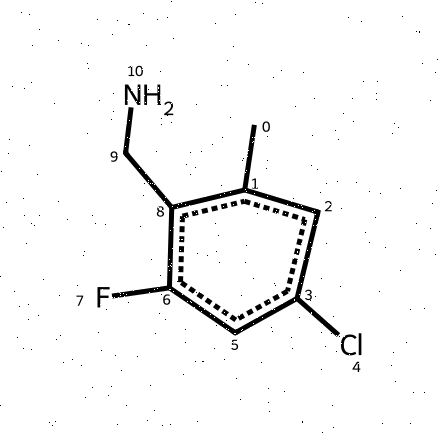 Cc1cc(Cl)cc(F)c1CN